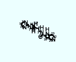 O=C(NCCC1[C@H]2CN(c3ncccn3)C[C@@H]12)c1cc2cnccc2[nH]1